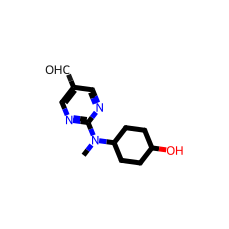 CN(c1ncc(C=O)cn1)C1CCC(O)CC1